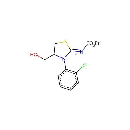 CCOC(=O)/N=C1\SCC(CO)N1c1ccccc1Cl